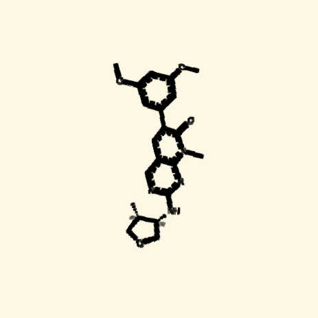 COc1cc(OC)cc(-c2cc3cnc(N[C@@H]4COC[C@@H]4C)nc3n(C)c2=O)c1